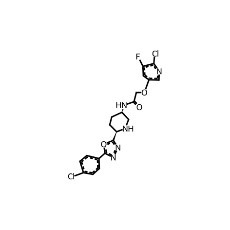 O=C(COc1cnc(Cl)c(F)c1)N[C@H]1CC[C@H](c2nnc(-c3ccc(Cl)cc3)o2)NC1